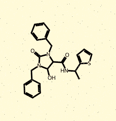 CC(NC(=O)C1C(O)N(Cc2ccccc2)C(=O)N1Cc1ccccc1)c1cccs1